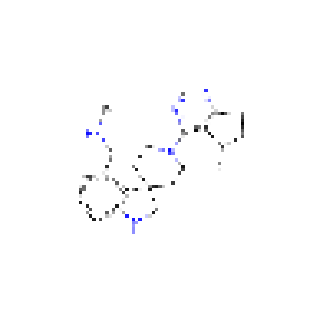 CCC1CCc2ncnc(N3CCC4(CC3)CNc3cccc(CNC(C)C)c34)c21